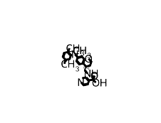 CC1=C(N(C)c2ccc3c(c2)OCC[C@H]3CNc2cnccc2C(=O)O)CC(C)C=C1